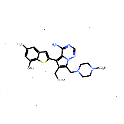 COc1cc(C)cc2cc(-c3c(CNC(C)=O)c(CN4CCN(C(=O)O)CC4)n4ncnc(N)c34)sc12